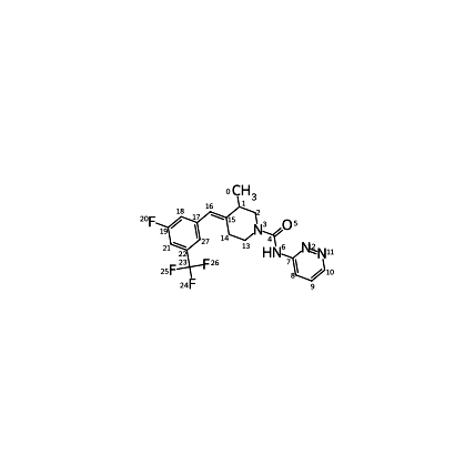 CC1CN(C(=O)Nc2cccnn2)CC/C1=C\c1cc(F)cc(C(F)(F)F)c1